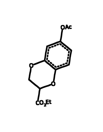 CCOC(=O)C1COc2cc(OC(C)=O)ccc2O1